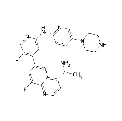 CC(N)c1ccnc2c(F)cc(-c3cc(Nc4ccc(N5CCNCC5)cn4)ncc3F)cc12